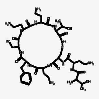 CC(C)CC1NC(=O)C(Cc2ccccc2)NC(=O)C(CCN)NC(=O)C(NC(=O)C(CCN)NC(=O)C(N)C(C)O)CCNC(=O)C(C(C)O)NC(=O)C(CCN)NC(=O)C(CCN)NC1=O